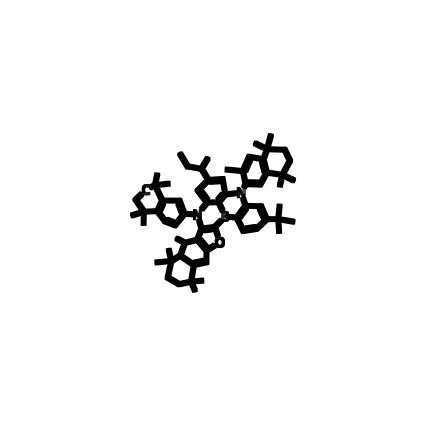 CCC(C)c1cc2c3c(c1)N(c1ccc4c(c1)C(C)(C)CCC4(C)C)c1c(oc4c1C(C)C1C(=C4)C(C)(C)CCC1(C)C)B3c1ccc(C(C)(C)C)cc1N2c1cc2c(cc1C)C(C)(C)CCC2(C)C